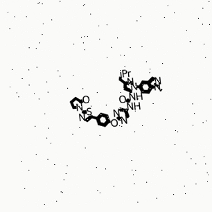 CC(C)Cc1cc(NC(=O)Nc2cnc(Oc3ccc(-c4cnc(N5CCCC5=O)s4)cc3)nc2)n(-c2ccc3c(cnn3C)c2)n1